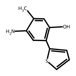 Cc1cc(O)c(-c2cccs2)cc1N